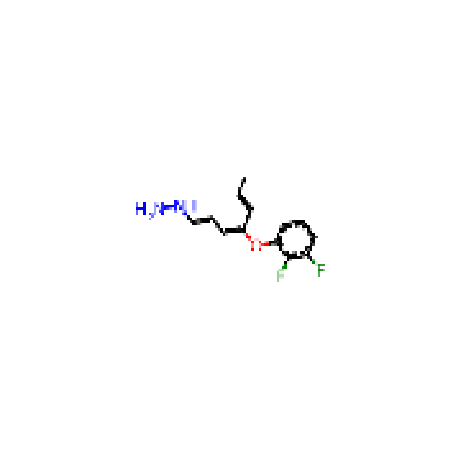 C/C=C/C(=C\C=C\NN)Oc1cccc(F)c1F